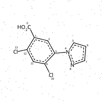 O=C(O)c1cc(-n2cccn2)c(Cl)cc1Cl